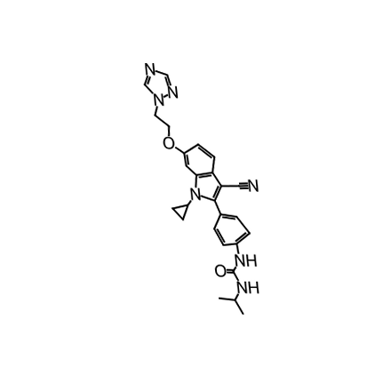 CC(C)NC(=O)Nc1ccc(-c2c(C#N)c3ccc(OCCn4cncn4)cc3n2C2CC2)cc1